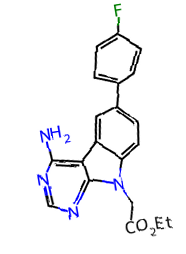 CCOC(=O)Cn1c2ccc(-c3ccc(F)cc3)cc2c2c(N)ncnc21